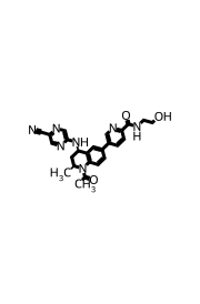 CC(=O)N1c2ccc(-c3ccc(C(=O)NCCO)nc3)cc2[C@H](Nc2cnc(C#N)cn2)C[C@@H]1C